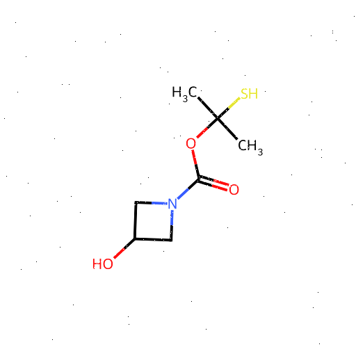 CC(C)(S)OC(=O)N1CC(O)C1